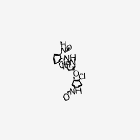 Cc1cccc(NC=O)c1Nc1ncc(OCc2cc(NC=O)ccc2Cl)cn1